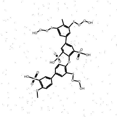 COc1ccc(-c2ccc(Oc3c(S(=O)(=O)O)cc(-c4cc(SOOO)c(C)c(SOOO)c4)cc3S(=O)(=O)O)c(SOOO)c2)cc1S(=O)(=O)O